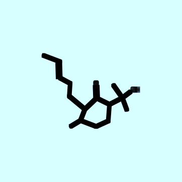 CC=CCCC1C(=O)C(C(C)(C)O)CCC1C